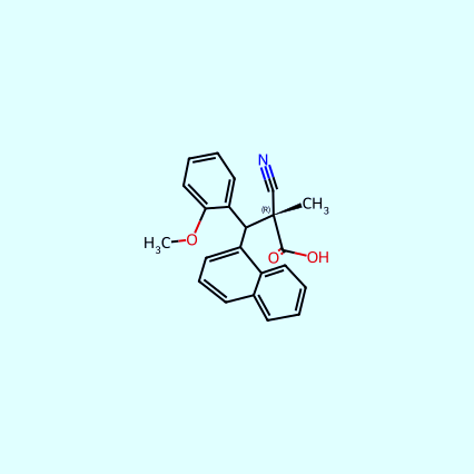 COc1ccccc1C(c1cccc2ccccc12)[C@](C)(C#N)C(=O)O